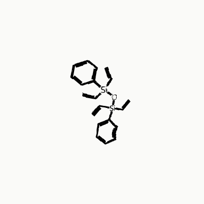 C=C[Si](C=C)(O[Si](C=C)(C=C)c1ccccc1)c1ccccc1